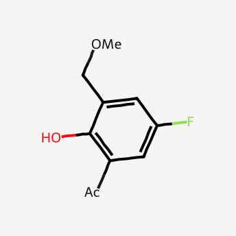 COCc1cc(F)cc(C(C)=O)c1O